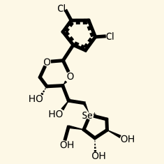 OC[C@@H]1[C@@H](O)[C@H](O)C[Se@+]1C[C@@H](O)[C@H]1OC(c2cc(Cl)cc(Cl)c2)OC[C@H]1O